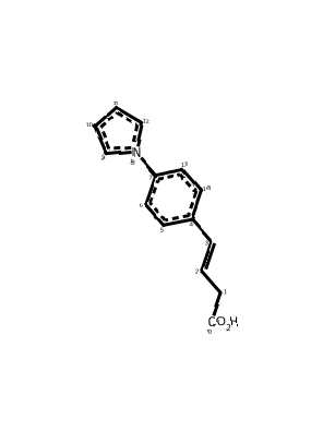 O=C(O)C/C=C/c1ccc(-n2cccc2)cc1